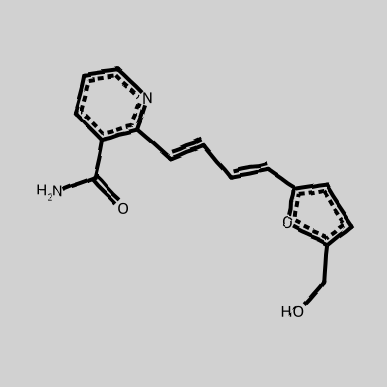 NC(=O)c1cccnc1C=CC=Cc1ccc(CO)o1